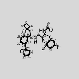 CC(=O)N[C@@H](Cc1cc(F)cc(F)c1)[C@@H](O)CN[C@H]1CC2(CCC2)Oc2ccc(-c3ncco3)cc21